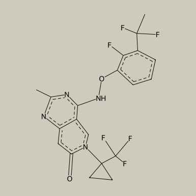 Cc1nc(NOc2cccc(C(C)(F)F)c2F)c2cn(C3(C(F)(F)F)CC3)c(=O)cc2n1